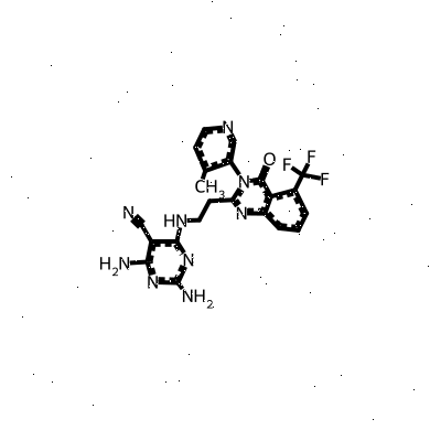 Cc1ccncc1-n1c(CCNc2nc(N)nc(N)c2C#N)nc2cccc(C(F)(F)F)c2c1=O